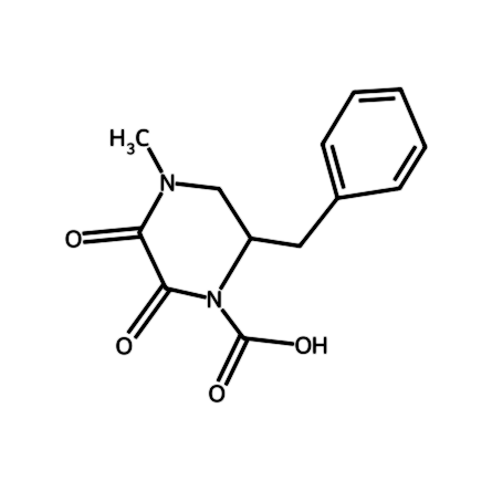 CN1CC(Cc2ccccc2)N(C(=O)O)C(=O)C1=O